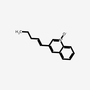 CCC/C=C/c1cc2ccccc2[n+]([O-])c1